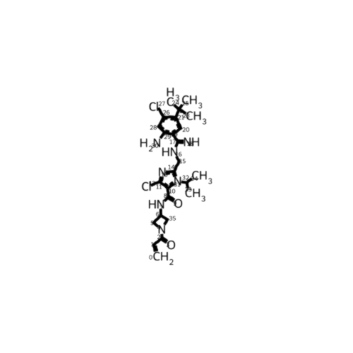 C=CC(=O)N1CC(NC(=O)c2c(Cl)nc(CNC(=N)c3cc(C(C)(C)C)c(Cl)cc3N)n2C(C)C)C1